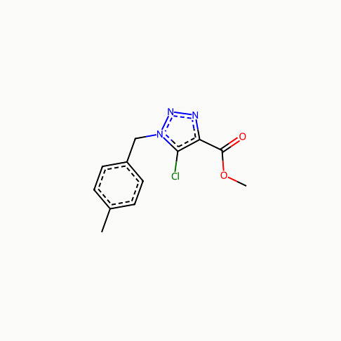 COC(=O)c1nnn(Cc2ccc(C)cc2)c1Cl